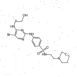 C[C@H](CO)Nc1nc(Nc2ccc(S(=O)(=O)NCCN3CCCCC3)cc2)ncc1Br